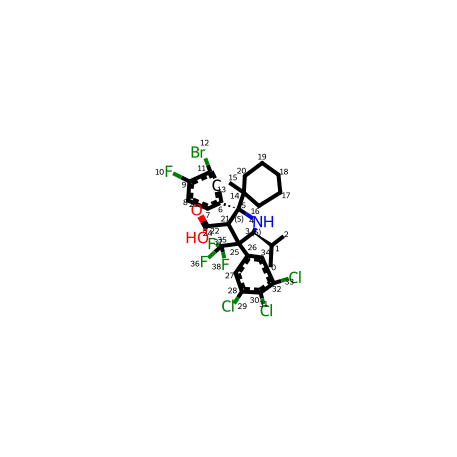 CC(C)[C@@H]1N[C@](c2ccc(F)c(Br)c2)(C2(C)CCCCC2)C(C(=O)O)C1(c1cc(Cl)c(Cl)c(Cl)c1)C(F)(F)F